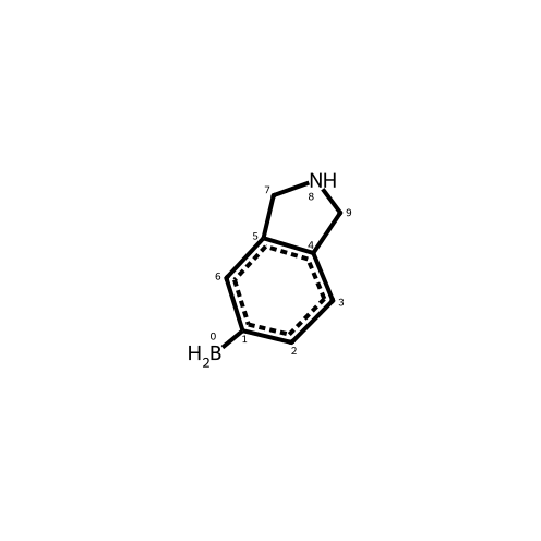 Bc1ccc2c(c1)CNC2